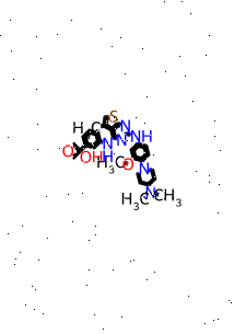 COc1cc(Nc2nc(Nc3cccc(C4(O)COC4)c3)c3c(C)csc3n2)ccc1N1CCC(N(C)C)CC1